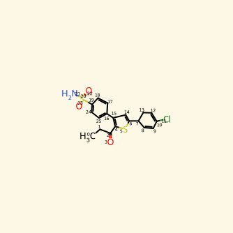 CCC(=O)c1sc(C2C=CC(Cl)=CC2)cc1-c1ccc(S(N)(=O)=O)cc1